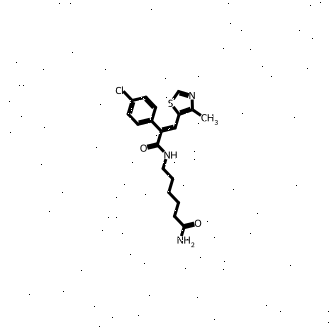 Cc1ncsc1/C=C(/C(=O)NCCCCCC(N)=O)c1ccc(Cl)cc1